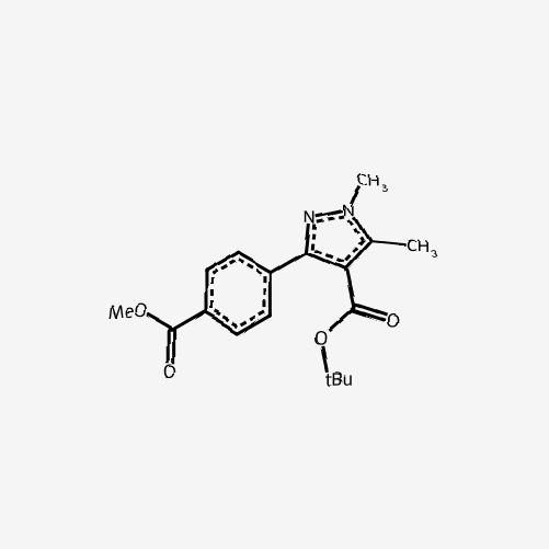 COC(=O)c1ccc(-c2nn(C)c(C)c2C(=O)OC(C)(C)C)cc1